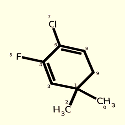 CC1(C)C=C(F)C(Cl)=CC1